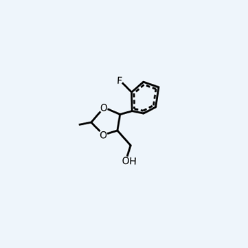 CC1OC(CO)C(c2ccccc2F)O1